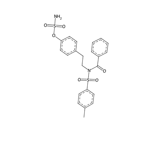 Cc1ccc(S(=O)(=O)N(CCc2ccc(OS(N)(=O)=O)cc2)C(=O)c2ccccc2)cc1